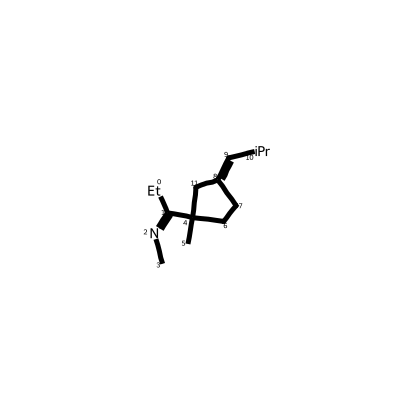 CC/C(=N/C)C1(C)CC/C(=C\C(C)C)C1